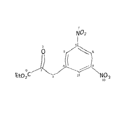 CCOC(=O)C(=O)Cc1cc([N+](=O)[O-])cc([N+](=O)[O-])c1